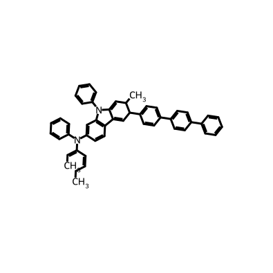 C/C=C(\C=C/CC)N(c1ccccc1)c1ccc2c3c(n(-c4ccccc4)c2c1)=CC(C)C(c1ccc(-c2ccc(-c4ccccc4)cc2)cc1)C=3